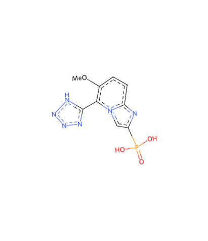 COc1ccc2nc(P(=O)(O)O)cn2c1-c1nnn[nH]1